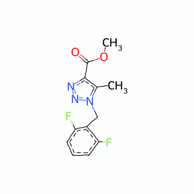 COC(=O)c1nnn(Cc2c(F)cccc2F)c1C